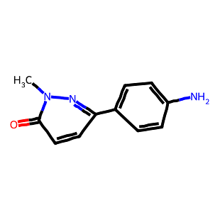 Cn1nc(-c2ccc(N)cc2)ccc1=O